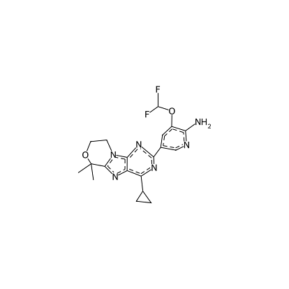 CC1(C)OCCn2c1nc1c(C3CC3)nc(-c3cnc(N)c(OC(F)F)c3)nc12